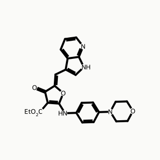 CCOC(=O)C1=C(Nc2ccc(N3CCOCC3)cc2)O/C(=C\c2c[nH]c3ncccc23)C1=O